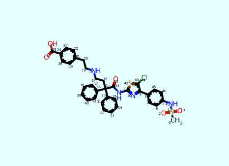 CS(=O)(=O)Nc1ccc(-c2nc(NC(=O)C(CCNCCc3ccc(C(=O)O)cc3)(c3ccccc3)c3ccccc3)sc2Cl)cc1